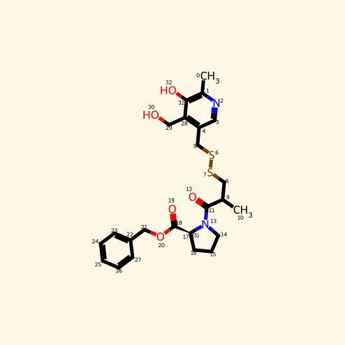 Cc1ncc(CSSCC(C)C(=O)N2CCC[C@H]2C(=O)OCc2ccccc2)c(CO)c1O